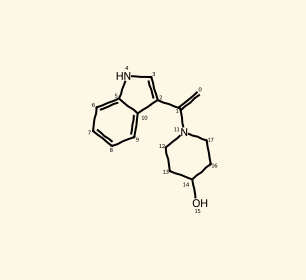 C=C(c1c[nH]c2ccccc12)N1CCC(O)CC1